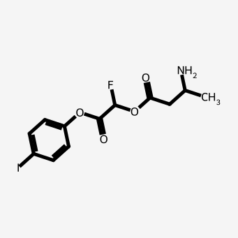 CC(N)CC(=O)OC(F)C(=O)Oc1ccc(I)cc1